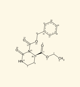 CCOC(=O)[C@H]1CCNC(=O)N1C(=O)OCc1ccccc1